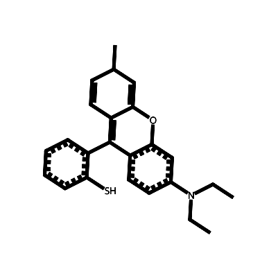 CCN(CC)c1ccc2c(c1)OC1=CC(C)C=CC1=C2c1ccccc1S